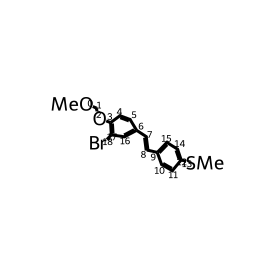 COCOc1ccc(/C=C/c2ccc(SC)cc2)cc1Br